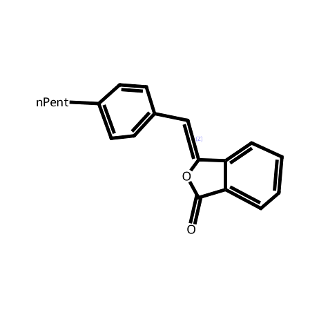 CCCCCc1ccc(/C=C2\OC(=O)c3ccccc32)cc1